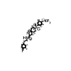 O=C(NCCc1ccc(F)cc1)C1=NOC2(CCN(S(=O)(=O)c3ccc(OC(F)(F)F)cc3)CC2)C1